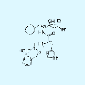 CC[C@@H](C[C@@H](O)[C@H](CC1CCCCC1)NC(=O)[C@H](Cc1c[nH]cn1)NC[C@H](Cc1ccccc1)NC(=O)O)C(C)C